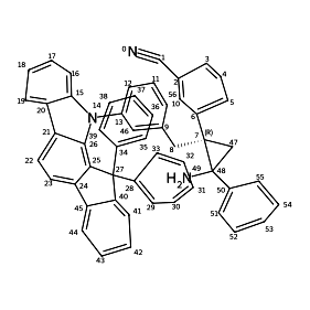 N#Cc1cccc([C@@]2(Cc3cccc(-n4c5ccccc5c5ccc6c(c54)C(c4ccccc4)(c4ccccc4)c4ccccc4-6)c3)CC2(N)c2ccccc2)c1